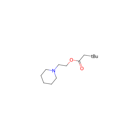 CC(C)(C)CC(=O)OCCN1CCCCC1